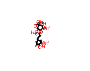 O=C(/C=C/c1ccc(O)c(O)c1)O[C@H]1C(O)C[C@](O)(C(=O)O)C[C@H]1O